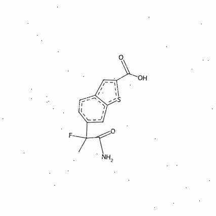 CC(F)(C(N)=O)c1ccc2cc(C(=O)O)sc2c1